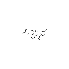 CCC(=O)N[C@@H]1CCCc2c1cncc2N1C(=O)c2ccc(Cl)cc2[C@@H]1CC